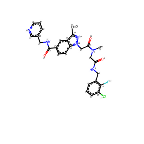 CC(C)N(CC(=O)NCc1cccc(Cl)c1F)C(=O)Cn1nc(C=O)c2cc(C(=O)NCc3cccnc3)ccc21